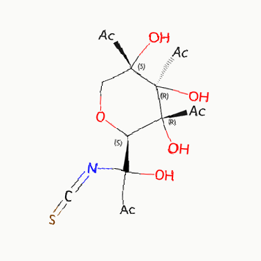 CC(=O)C(O)(N=C=S)[C@H]1OC[C@@](O)(C(C)=O)[C@](O)(C(C)=O)[C@@]1(O)C(C)=O